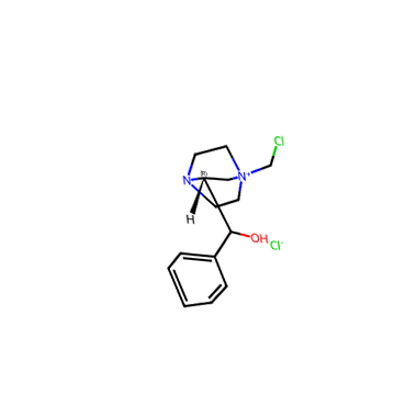 OC(c1ccccc1)[C@H]1C[N+]2(CCl)CCN1CC2.[Cl-]